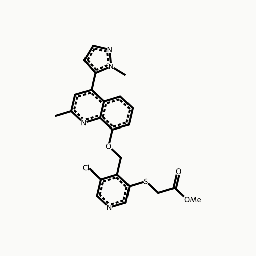 COC(=O)CSc1cncc(Cl)c1COc1cccc2c(-c3ccnn3C)cc(C)nc12